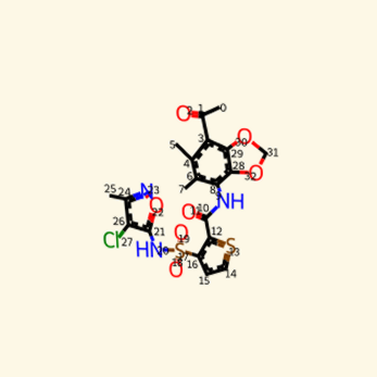 CC(=O)c1c(C)c(C)c(NC(=O)c2sccc2S(=O)(=O)Nc2onc(C)c2Cl)c2c1OCO2